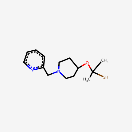 CC(C)(S)OC1CCN(Cc2ccccn2)CC1